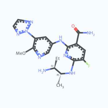 CC[C@H](N)[C@@H](C)Nc1nc(Nc2cnc(OC)c(-n3nccn3)c2)c(C(N)=O)cc1F